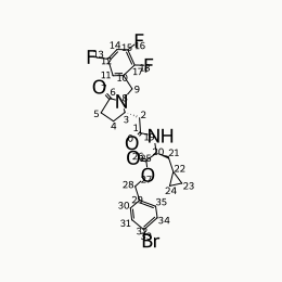 O=C(C[C@@H]1CCC(=O)N1Cc1cc(F)cc(F)c1F)N[C@@H](CC1CC1)C(=O)OCc1ccc(Br)cc1